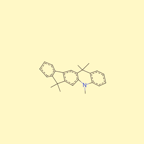 CN1c2ccccc2C(C)(C)c2cc3c(cc21)C(C)(C)c1ccccc1-3